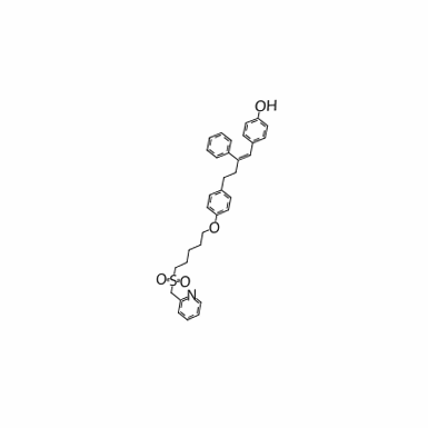 O=S(=O)(CCCCCOc1ccc(CCC(=Cc2ccc(O)cc2)c2ccccc2)cc1)Cc1ccccn1